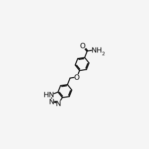 NC(=O)c1ccc(OCc2ccc3nn[nH]c3c2)cc1